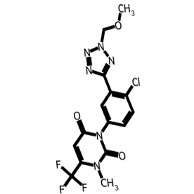 COCn1nnc(-c2cc(-n3c(=O)cc(C(F)(F)F)n(C)c3=O)ccc2Cl)n1